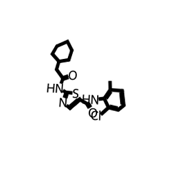 Cc1cccc(Cl)c1NC(=O)c1cnc(NC(=O)CC2CCCCC2)s1